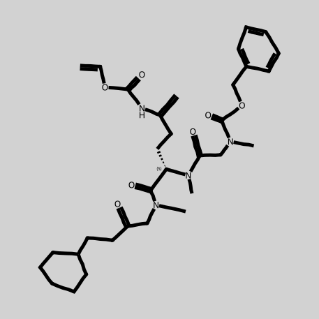 C=COC(=O)NC(=C)CC[C@@H](C(=O)N(C)CC(=O)CCC1CCCCC1)N(C)C(=O)CN(C)C(=O)OCc1ccccc1